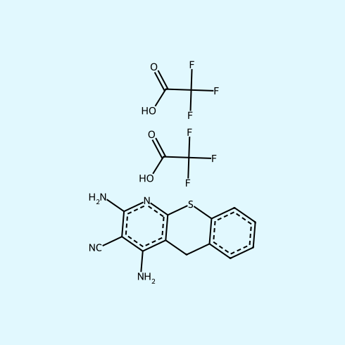 N#Cc1c(N)nc2c(c1N)Cc1ccccc1S2.O=C(O)C(F)(F)F.O=C(O)C(F)(F)F